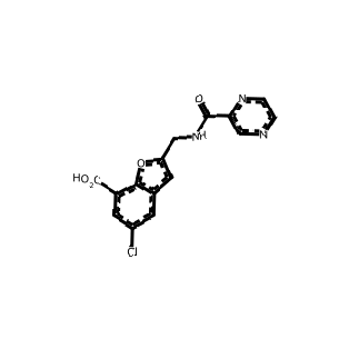 O=C(NCc1cc2cc(Cl)cc(C(=O)O)c2o1)c1cnccn1